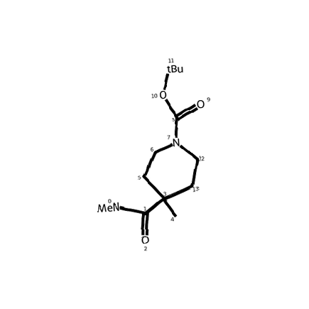 CNC(=O)C1(C)CCN(C(=O)OC(C)(C)C)CC1